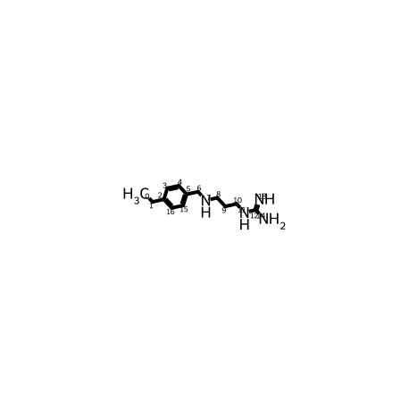 CCc1ccc(CNCCCNC(=N)N)cc1